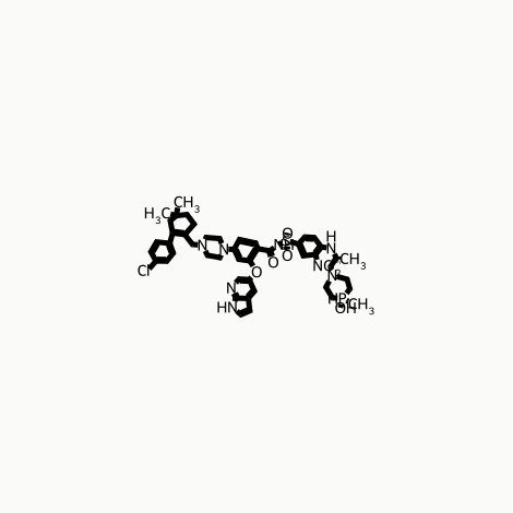 C[C@@H](CN1CC[PH](C)(O)CC1)Nc1ccc(S(=O)(=O)NC(=O)c2ccc(N3CCN(CC4=C(c5ccc(Cl)cc5)CC(C)(C)CC4)CC3)cc2Oc2cnc3[nH]ccc3c2)cc1[N+](=O)[O-]